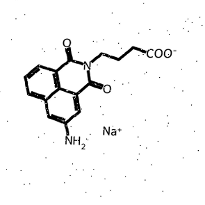 Nc1cc2c3c(cccc3c1)C(=O)N(CCCC(=O)[O-])C2=O.[Na+]